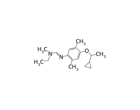 CCN(C)C=Nc1cc(C)c(OC(C)C2CC2)cc1C